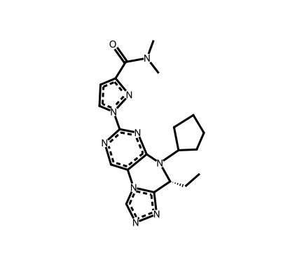 CC[C@@H]1c2nncn2-c2cnc(-n3ccc(C(=O)N(C)C)n3)nc2N1C1CCCC1